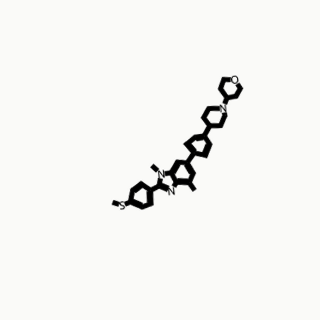 CSc1ccc(-c2nc3c(C)cc(-c4ccc(C5CCN(C6CCOCC6)CC5)cc4)cc3n2C)cc1